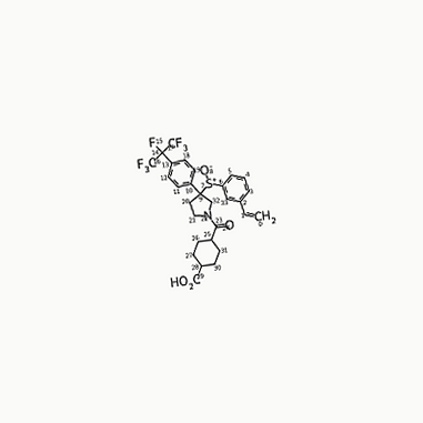 C=Cc1cccc([S+]([O-])C2(c3ccc(C(F)(C(F)(F)F)C(F)(F)F)cc3)CCN(C(=O)C3CCC(C(=O)O)CC3)C2)c1